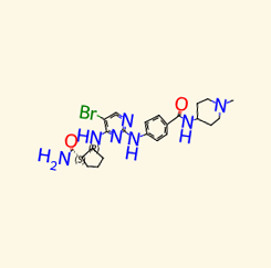 CN1CCC(NC(=O)c2ccc(Nc3ncc(Br)c(N[C@@H]4CCC[C@@H]4C(N)=O)n3)cc2)CC1